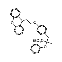 CCOC(=O)C(C)(Cc1ccc(OCCN2c3ccccc3Oc3ccccc32)cc1)Oc1ccccc1